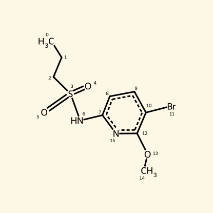 CCCS(=O)(=O)Nc1ccc(Br)c(OC)n1